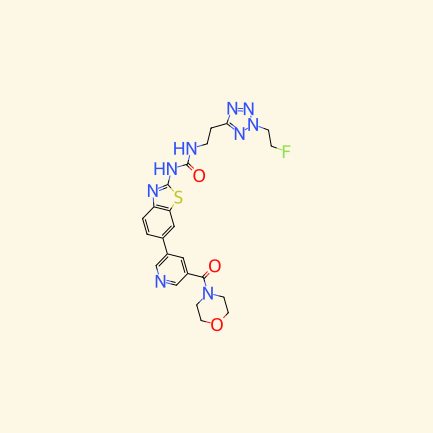 O=C(NCCc1nnn(CCF)n1)Nc1nc2ccc(-c3cncc(C(=O)N4CCOCC4)c3)cc2s1